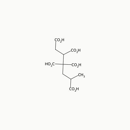 CC(CC(C(=O)O)(C(=O)O)C(CC(=O)O)C(=O)O)C(=O)O